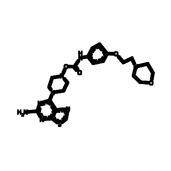 Nc1nc(N2CCN(OC(=O)Nc3ccc(OCCN4CCOCC4)cc3)CC2)c2ncsc2n1